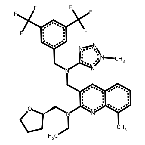 CCN(C[C@H]1CCCO1)c1nc2c(C)cccc2cc1CN(Cc1cc(C(F)(F)F)cc(C(F)(F)F)c1)c1nnn(C)n1